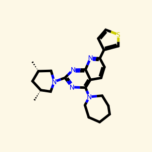 C[C@@H]1C[C@H](C)CN(c2nc(N3CCCCCC3)c3ccc(-c4ccsc4)nc3n2)C1